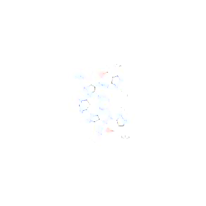 COC(=O)c1cnn(C)c1/N=N/c1c(C2CCCCN2)nn(-c2cc(-n3nc(C4CCCCN4)c(/N=N/c4c(C(=O)OC)cnn4C)c3N)ncn2)c1N